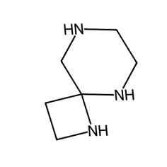 C1CNC2(CCN2)CN1